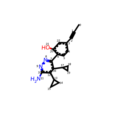 CC#Cc1ccc(-c2nnc(N)c(C3CC3)c2C2CC2)c(O)c1